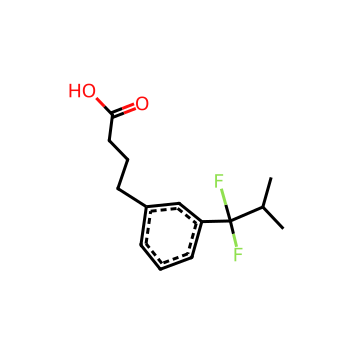 CC(C)C(F)(F)c1cccc(CCCC(=O)O)c1